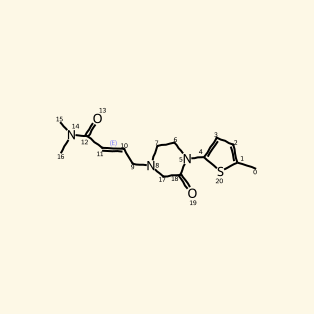 Cc1ccc(N2CCN(C/C=C/C(=O)N(C)C)CC2=O)s1